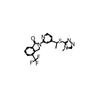 CC(Sc1nncn1C)c1ccnc(N2Cc3c(cccc3C(F)(F)F)C2=O)c1